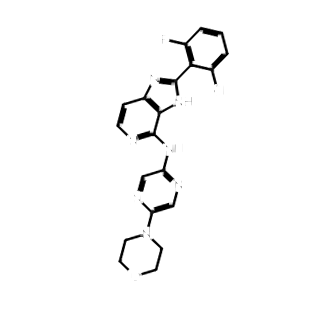 Fc1cccc(Cl)c1-c1nc2ccnc(Nc3cnc(N4CCOCC4)cn3)c2[nH]1